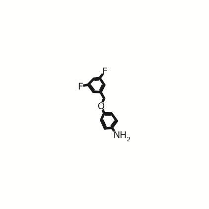 Nc1ccc(OCc2cc(F)cc(F)c2)cc1